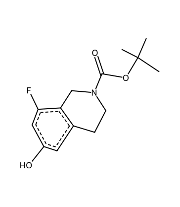 CC(C)(C)OC(=O)N1CCc2cc(O)cc(F)c2C1